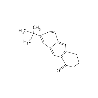 CC(C)(C)c1ccc2cc3c(cc2c1)C(=O)CCC3